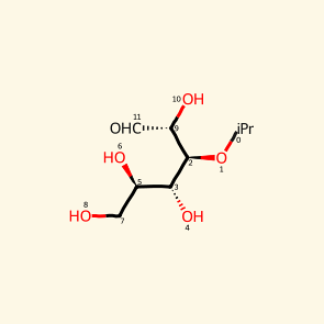 CC(C)O[C@@H]([C@H](O)[C@H](O)CO)[C@@H](O)C=O